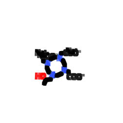 CC(O)CN1CCN(CC(=O)[O-])CCN(CC(=O)[O-])CCN(CC(=O)[O-])CC1.[Na+].[Na+].[Na+]